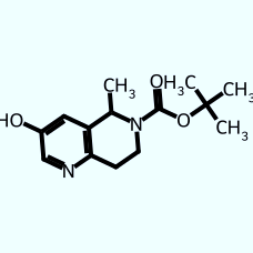 CC1c2cc(O)cnc2CCN1C(=O)OC(C)(C)C